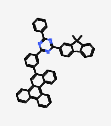 CC1(C)c2ccccc2-c2ccc(-c3nc(-c4ccccc4)nc(-c4cccc(-c5cc6c7ccccc7c7ccccc7c6c6ccccc56)c4)n3)cc21